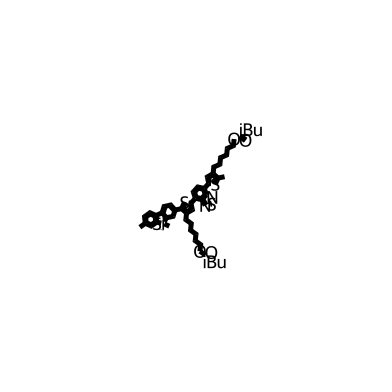 CCC(C)C(=O)OCCCCCCc1cc(-c2ccc(-c3cc(CCCCCCOC(=O)C(C)CC)c(C4=CC=C5c6ccc(C)cc6[Si](C)(C)C5C4)s3)c3nsnc23)sc1C